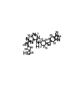 Cc1cc(Nc2ncnc3cnc(N(C)[C@H]4C[C@](C)(O)C4)nc23)ccc1Oc1ccc2c(c1)ncn2C